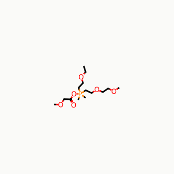 CCOCCP(C)(C)(CCOCCOC)OC(=O)COC